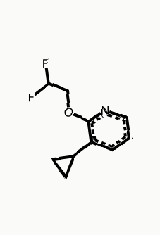 FC(F)COc1nc[c]cc1C1CC1